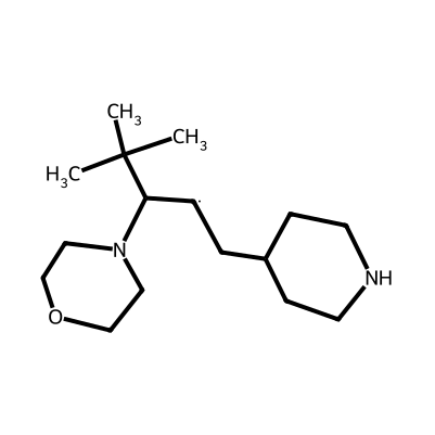 CC(C)(C)C([CH]CC1CCNCC1)N1CCOCC1